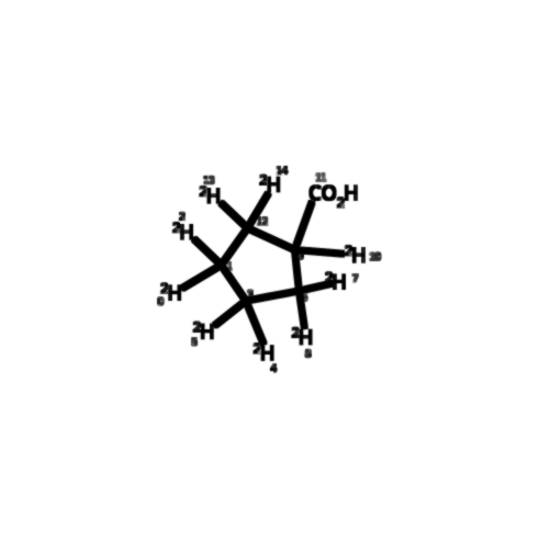 [2H]C1([2H])C([2H])([2H])C([2H])([2H])C([2H])(C(=O)O)C1([2H])[2H]